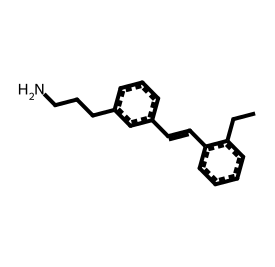 CCc1ccccc1C=Cc1cccc(CCCN)c1